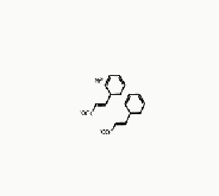 O=C([O-])C=CC1C=CC=CC1.O=C([O-])C=CC1C=CC=CC1.[Ni+2]